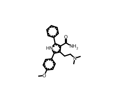 COc1ccc(-c2[nH]c(-c3ccccc3)c(C(N)=O)c2CCN(C)C)cc1